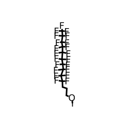 FC(F)(F)C(F)(F)C(F)(F)C(F)(F)C(F)(F)C(F)(F)C(F)(F)C(F)(F)C(F)(F)C(F)(F)CCCOI